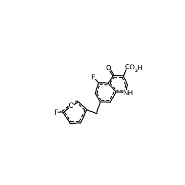 O=C(O)c1c[nH]c2cc(Cc3ccc(F)cc3)cc(F)c2c1=O